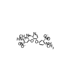 CNc1ccc(Oc2ccnc(C#N)c2Oc2ccc(NC)c([N+](=O)[O-])c2)cc1[N+](=O)[O-]